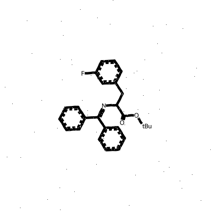 CC(C)(C)OC(=O)C(Cc1cccc(F)c1)N=C(c1ccccc1)c1ccccc1